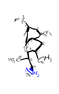 CC(Cc1c(C(F)(F)F)cc(C(F)(F)F)cc1C(F)(F)F)CC(CN)C(=O)O